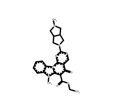 CCOC(=O)c1c(=O)c2cnc(N3CC4CN(C)CC4C3)nc2n2c3ccccc3n(C)c12